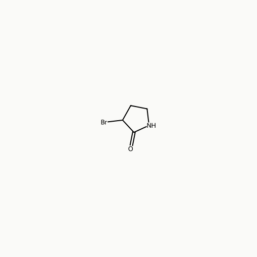 O=C1NCCC1Br